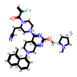 C=C(F)C(=O)N1CCN(c2nc(OC[C@@H]3C[C@H](C)CN3C)nc3c2CCN(c2cccc4cccc(C)c24)C3)CC1CC#N